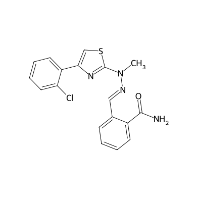 CN(/N=C/c1ccccc1C(N)=O)c1nc(-c2ccccc2Cl)cs1